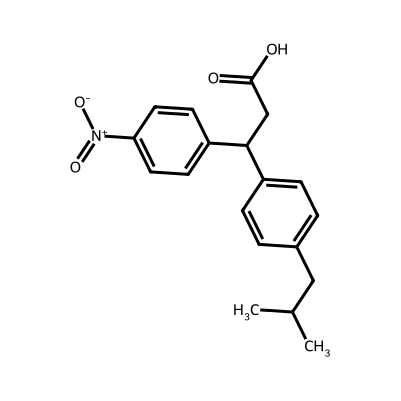 CC(C)Cc1ccc(C(CC(=O)O)c2ccc([N+](=O)[O-])cc2)cc1